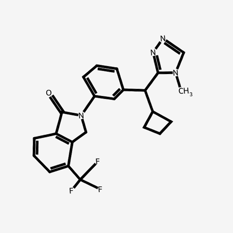 Cn1cnnc1C(c1cccc(N2Cc3c(cccc3C(F)(F)F)C2=O)c1)C1CCC1